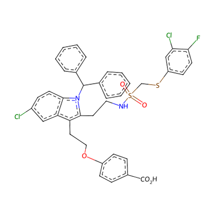 O=C(O)c1ccc(OCCc2c(CCNS(=O)(=O)CSc3ccc(F)c(Cl)c3)n(C(c3ccccc3)c3ccccc3)c3ccc(Cl)cc23)cc1